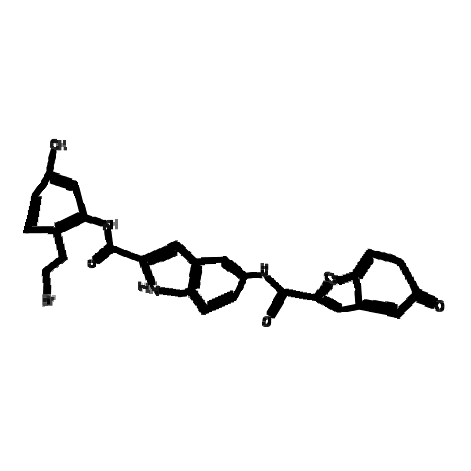 O=C1C=c2cc(C(=O)Nc3ccc4[nH]c(C(=O)Nc5cc(O)ccc5CCBr)cc4c3)oc2=CC1